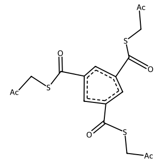 CC(=O)CSC(=O)c1cc(C(=O)SCC(C)=O)cc(C(=O)SCC(C)=O)c1